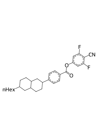 CCCCCCC1CCC2CC(c3ccc(C(=O)Oc4cc(F)c(C#N)c(F)c4)cc3)CCC2C1